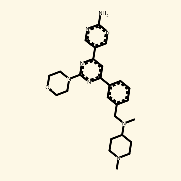 CN1CCC(N(C)Cc2cccc(-c3cc(-c4cnc(N)nc4)nc(N4CCOCC4)n3)c2)CC1